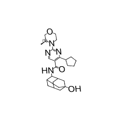 C[C@H]1COCCN1c1ncc(C(=O)NC2C3CC4CC2CC(O)(C4)C3)c(C2CCCC2)n1